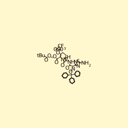 CC(C)(C)C(=O)OCOC(=O)C1=C(OS(=O)(=O)C(F)(F)F)CC[C@@H]2[C@H](NC(=O)/C(=N\OC(c3ccccc3)(c3ccccc3)c3ccccc3)c3nsc(N)n3)C(=O)N12